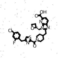 O=C(O)c1ccc2nc(CC3CCN(C(=O)c4nc(Cc5ccc(Cl)cc5F)cs4)CC3)n(C[C@@H]3CCO3)c2n1